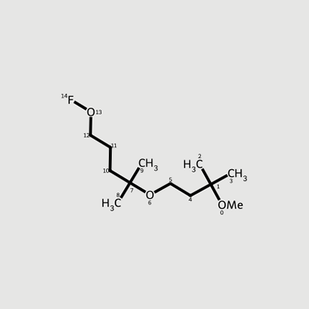 COC(C)(C)CCOC(C)(C)CCCOF